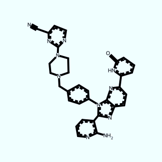 N#Cc1ccnc(N2CCN(Cc3ccc(-n4c(-c5cccnc5N)nc5ccc(-c6cccc(=O)[nH]6)nc54)cc3)CC2)n1